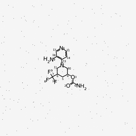 NC(=O)OC1CC(C(F)(F)F)CN(c2ccncc2N)C1